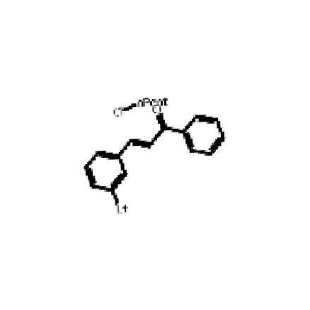 CCCCCCl.CCc1cccc(C=CC(=O)c2ccccc2)c1